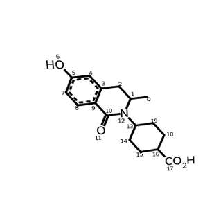 CC1Cc2cc(O)ccc2C(=O)N1C1CCC(C(=O)O)CC1